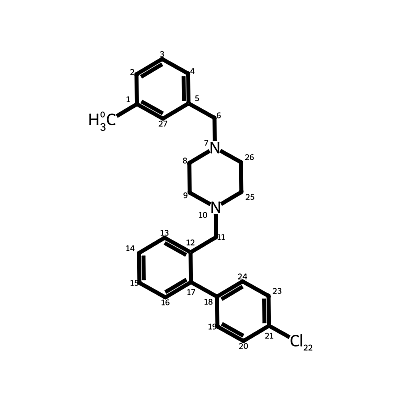 Cc1cccc(CN2CCN(Cc3ccccc3-c3ccc(Cl)cc3)CC2)c1